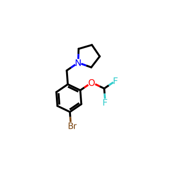 FC(F)Oc1cc(Br)ccc1CN1CCCC1